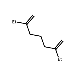 C=C(CC)CCCC(=C)CC